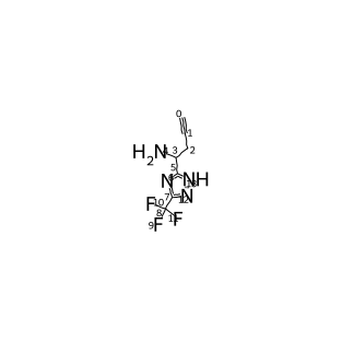 C#CCC(N)c1nc(C(F)(F)F)n[nH]1